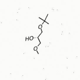 COC[C@H](O)COC(C)(C)C